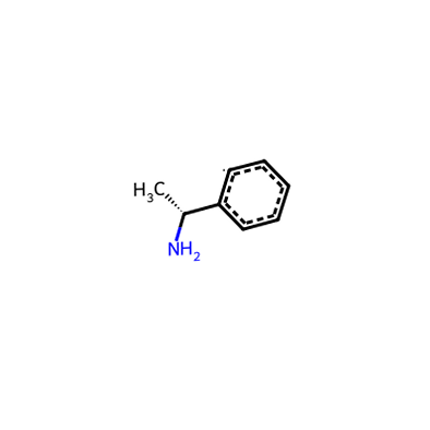 C[C@@H](N)c1[c]cccc1